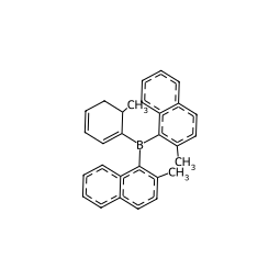 Cc1ccc2ccccc2c1B(C1=CC=CCC1C)c1c(C)ccc2ccccc12